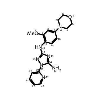 COc1cc(N2CCOCC2)ccc1Nc1nc(N)n(-c2ccccn2)n1